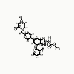 CCOC(=O)Nc1nc2cc(-c3ccc(CN4CCN(C)CC4=O)nc3)cc(-c3ncccc3F)c2[nH]1